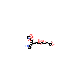 CO[C@@H]([C@@H](O)[C@H](C)C[C@H](C)/C=C/C=C/C=C(\C)[C@H](C[C@@H]1CC[C@@H](C)[C@](O)(C(=O)C(=O)N2CCCCC2C(O)O)O1)C1=CNC2C(C)=CC=CC12)[C@H](O)C(C)C[C@@H](C)[C@@H](O)CC[C@H](C)C[C@@H]1CC[C@@H](O)[C@H](OC)C1